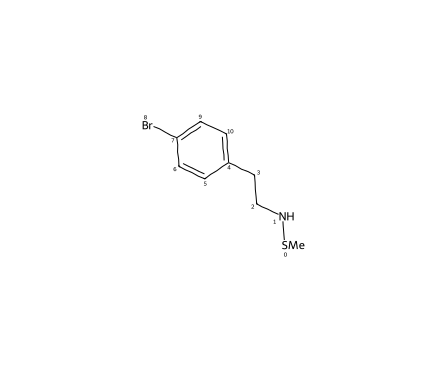 CSNCCc1ccc(Br)cc1